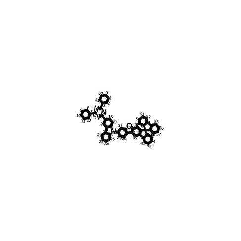 c1ccc(-c2nc(-c3ccccc3)nc(-c3ccc4c(c3)c3ccccc3n4-c3ccc4c(c3)oc3cc5c(cc34)-c3ccccc3C53c4ccccc4-c4ccccc43)n2)cc1